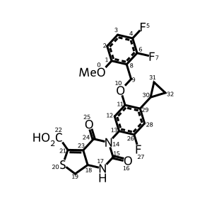 COc1ccc(F)c(F)c1COc1cc(N2C(=O)NC3CSC(C(=O)O)=C3C2=O)c(F)cc1C1CC1